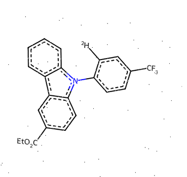 [2H]c1cc(C(F)(F)F)ccc1-n1c2ccccc2c2cc(C(=O)OCC)ccc21